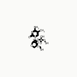 Cc1cn([C@@H]2O[C@@]3(CS)COC2C3OP(=O)(O)OS)c(=O)nc1N